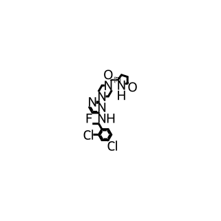 CC(Nc1nc(N2CCN(C(=O)[C@H]3CCC(=O)N3)CC2)ncc1F)c1ccc(Cl)cc1Cl